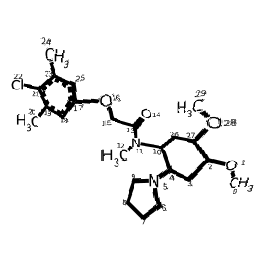 COC1CC(N2CCCC2)C(N(C)C(=O)COc2cc(C)c(Cl)c(C)c2)CC1OC